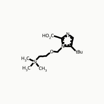 CC(C)(C)c1cnc(C(=O)O)n1COCC[Si](C)(C)C